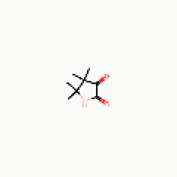 CC1(C)BC(=O)C(=O)C1(C)C